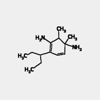 CCC(CC)C1=C(N)C(C)C(C)(N)C=C1